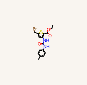 CCOC(=O)c1sc(CBr)cc1NC(=O)Nc1ccc(C)cc1